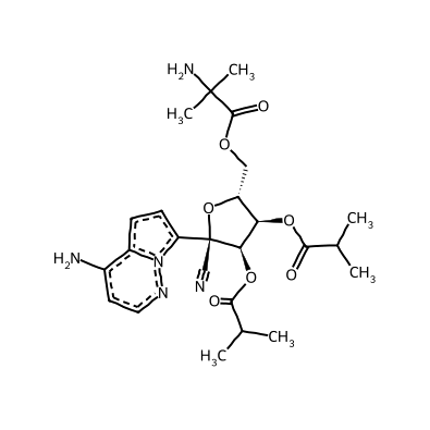 CC(C)C(=O)O[C@H]1[C@@H](OC(=O)C(C)C)[C@](C#N)(c2ccc3c(N)ccnn23)O[C@@H]1COC(=O)C(C)(C)N